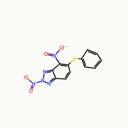 O=[N+]([O-])c1c(Sc2ccccc2)ccc2nn([N+](=O)[O-])nc12